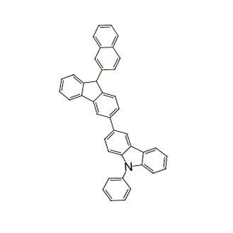 c1ccc(-n2c3ccccc3c3cc(-c4ccc5c(c4)-c4ccccc4C5c4ccc5ccccc5c4)ccc32)cc1